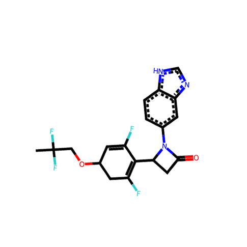 CC(F)(F)COC1C=C(F)C(C2CC(=O)N2c2ccc3[nH]cnc3c2)=C(F)C1